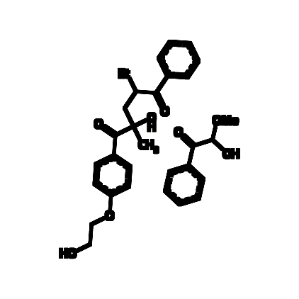 CCC(CC(C)(O)C(=O)c1ccc(OCCO)cc1)C(=O)c1ccccc1.COC(O)C(=O)c1ccccc1